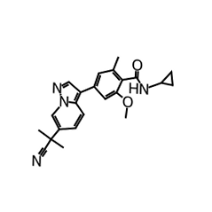 COc1cc(-c2cnn3cc(C(C)(C)C#N)ccc23)cc(C)c1C(=O)NC1CC1